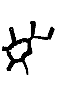 C=CC(=O)n1cc(C)c(=O)[nH]c1=O